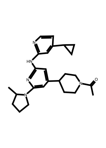 CC(=O)N1CCC(c2cc(Nc3cc(C4CC4)ccn3)nc(N3CCCC3C)c2)CC1